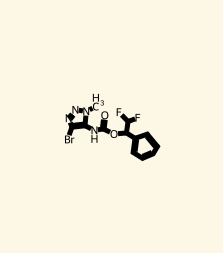 Cn1nnc(Br)c1NC(=O)OC(c1ccccc1)C(F)F